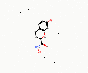 O=C(NO)C1CCc2ccc(O)cc2O1